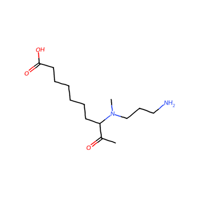 CC(=O)C(CCCCCCC(=O)O)N(C)CCCN